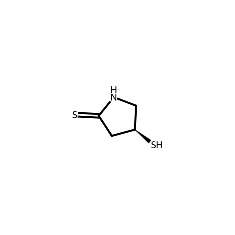 S=C1C[C@H](S)CN1